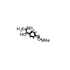 CSOOc1ccc([C@@H](O)[C@@H](C)N)cc1